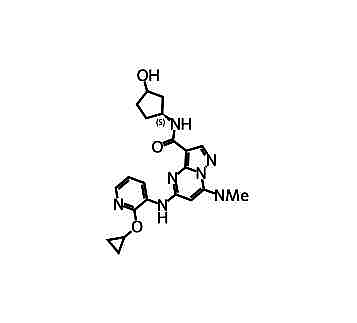 CNc1cc(Nc2cccnc2OC2CC2)nc2c(C(=O)N[C@H]3CCC(O)C3)cnn12